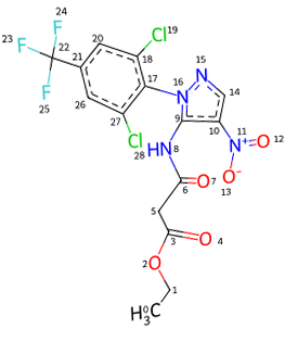 CCOC(=O)CC(=O)Nc1c([N+](=O)[O-])cnn1-c1c(Cl)cc(C(F)(F)F)cc1Cl